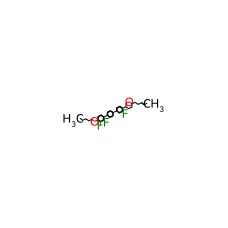 C/C=C/CCC1CCC(c2ccc(-c3ccc(-c4ccc(OCCCCC)c(F)c4F)cc3)cc2F)CO1